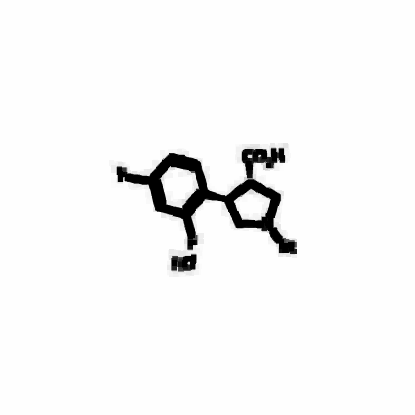 CCN1C[C@@H](C(=O)O)[C@H](c2ccc(F)cc2F)C1.Cl